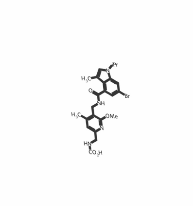 COc1nc(CNC(=O)O)cc(C)c1CNC(=O)c1cc(Br)cc2c1c(C)cn2C(C)C